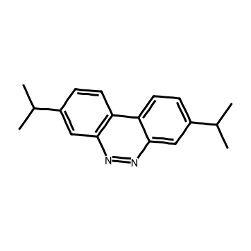 CC(C)c1ccc2c(c1)nnc1cc(C(C)C)ccc12